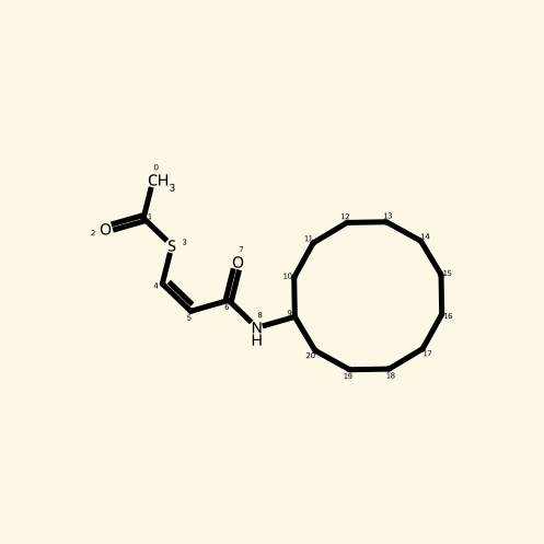 CC(=O)S/C=C\C(=O)NC1CCCCCCCCCCC1